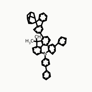 CC1(C)c2cccc(N(c3ccc(-c4ccccc4)cc3)c3ccc(-c4ccccc4)cc3)c2-c2cccc(-c3ccc4c(c3)-c3ccccc3C43C4CC5CC(C4)CC3C5)c21